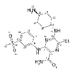 CCc1nc(C(N)=O)c(Nc2cccc(S(C)(=O)=O)c2)nc1N[C@H]1CC[C@H](N)CC1